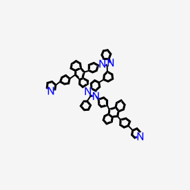 c1ccc(-c2nc3ccc(-c4cccc(-c5nc6ccccc6n5-c5ccc(-c6c7ccccc7c(-c7ccc(-c8cccnc8)cc7)c7ccccc67)cc5)c4)cc3n2-c2ccc(-c3c4ccccc4c(-c4ccc(-c5ccncc5)cc4)c4ccccc34)cc2)cc1